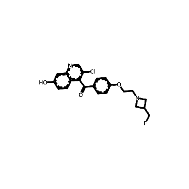 O=C(c1ccc(OCCN2CC(CF)C2)cc1)c1c(Cl)cnc2cc(O)ccc12